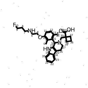 Cc1c(OCCNCCCF)ccc(F)c1C1c2[nH]c3ccccc3c2C[C@@H](C)N1CC1(C(=O)O)CCC1